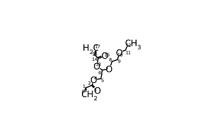 C=CC(=O)OCC(OCCOCC)OC(=O)C=C